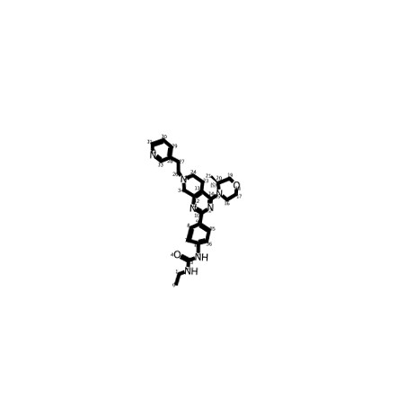 CCNC(=O)Nc1ccc(-c2nc3c(c(N4CCOC[C@@H]4C)n2)CCN(CCc2cccnc2)C3)cc1